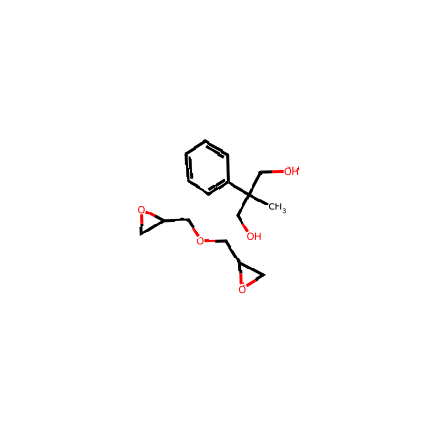 C(OCC1CO1)C1CO1.CC(CO)(CO)c1ccccc1